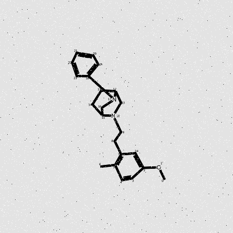 COc1ccc(C)c(CCN2CC3CCC2CN3c2ccccc2)c1